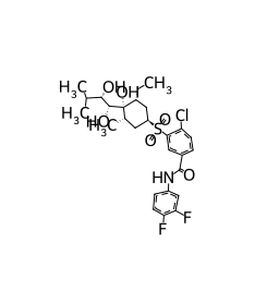 CC[C@@H]1C[C@@H](S(=O)(=O)c2cc(C(=O)Nc3ccc(F)c(F)c3)ccc2Cl)C[C@H](C)[C@@]1(O)[C@H](O)[C@@H](O)C(C)C